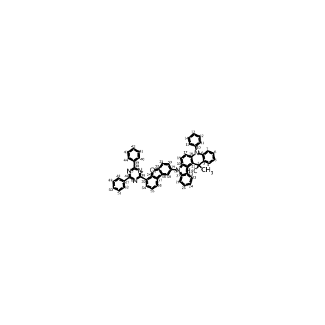 CC1(C)c2ccccc2N(c2ccccc2)c2ccc3c(c21)c1ccccc1n3-c1ccc2oc3c(-c4nc(-c5ccccc5)nc(-c5ccccc5)n4)cccc3c2c1